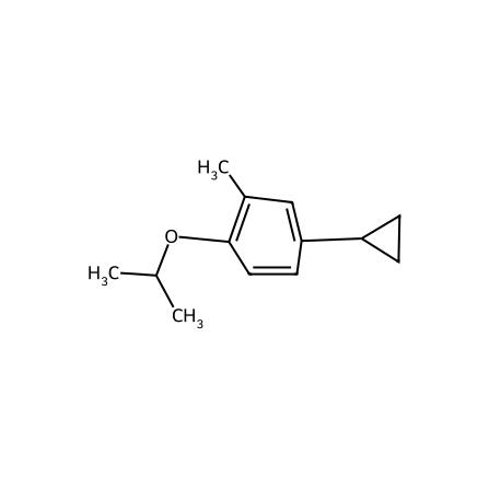 Cc1cc(C2CC2)ccc1OC(C)C